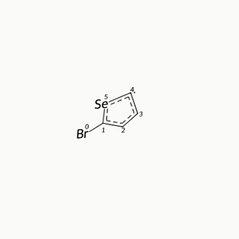 Brc1cc[c][se]1